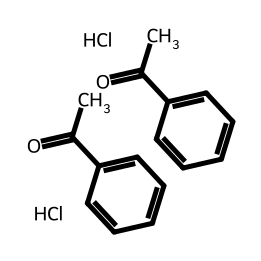 CC(=O)c1ccccc1.CC(=O)c1ccccc1.Cl.Cl